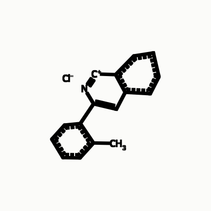 Cc1ccccc1C1=Cc2ccccc2[C+]=N1.[Cl-]